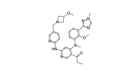 CCC(=O)c1cnc(Nc2ccc(CN3CC(OC)C3)cn2)cc1N(C)c1cccc(-c2ncn(C)n2)c1OC